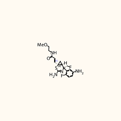 COCCNC(=O)/C=C/[C@]12C[C@H]1[C@@](CF)(c1cc(N)ccc1F)N=C(N)S2